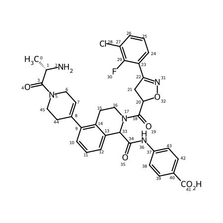 C[C@H](N)C(=O)N1CC=C(c2cccc3c2CCN(C(=O)C2CC(c4cccc(Cl)c4F)=NO2)C3C(=O)Nc2ccc(C(=O)O)cc2)CC1